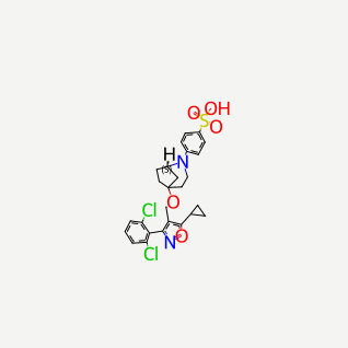 O=S(=O)(O)c1ccc(N2CCC3(OCc4c(-c5c(Cl)cccc5Cl)noc4C4CC4)CC[C@H]2C3)cc1